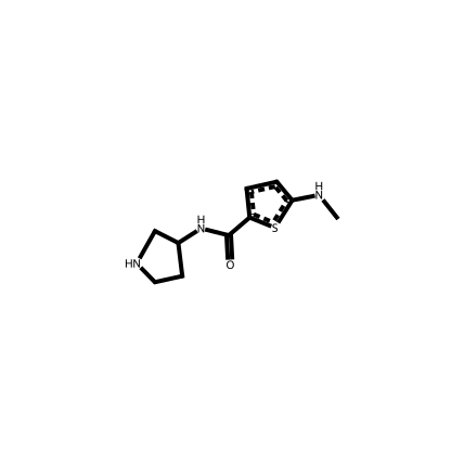 CNc1ccc(C(=O)NC2CCNC2)s1